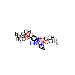 CC(C)(C)OC(=O)N1C2CC2C[C@H]1c1nc2ccc(B3OC(C)(C)C(C)(C)O3)cc2[nH]1